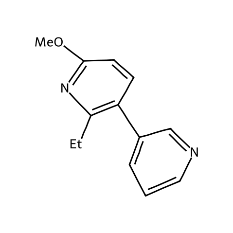 CCc1nc(OC)ccc1-c1cccnc1